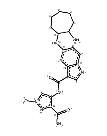 Cn1cc(NC(=O)c2cnn3ccc(NC4CCCCCC4N)nc23)c(C(N)=O)n1